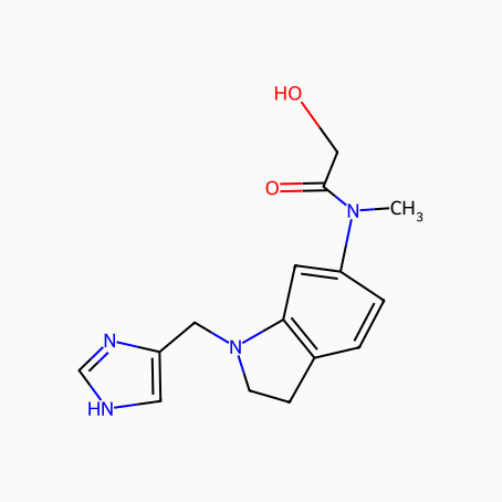 CN(C(=O)CO)c1ccc2c(c1)N(Cc1c[nH]cn1)CC2